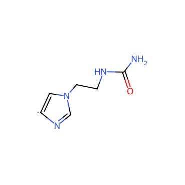 NC(=O)NCCn1c[c]nc1